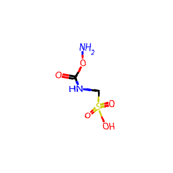 NOC(=O)NCS(=O)(=O)O